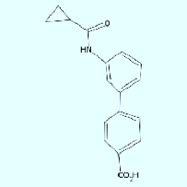 O=C(O)c1ccc(-c2cccc(NC(=O)C3CC3)c2)cc1